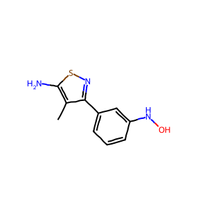 Cc1c(-c2cccc(NO)c2)nsc1N